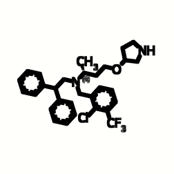 C[C@H](CCOC1CCNC1)N(Cc1cccc(C(F)(F)F)c1Cl)CC(c1ccccc1)c1ccccc1